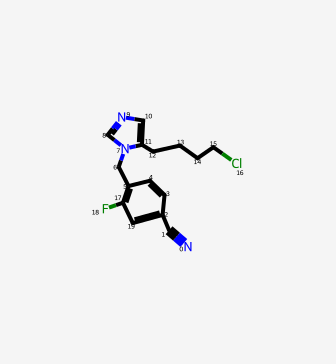 N#Cc1ccc(Cn2cncc2CCCCCl)c(F)c1